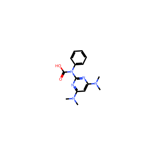 CN(C)c1cc(N(C)C)nc(N(C(=O)O)c2ccccc2)n1